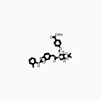 COC(=O)c1ccc(OC[C@@H]2[C@H]3OC(C)(C)O[C@H]3CN2C(=O)Cc2ccc3nc(Nc4ccccc4C)oc3c2)cc1